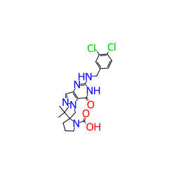 CC(C)(C)C1(Cn2ncc3nc(NCc4ccc(Cl)c(Cl)c4)[nH]c(=O)c32)CCCN1C(=O)O